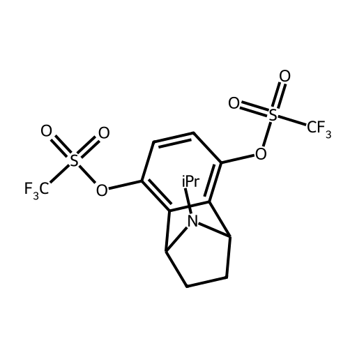 CC(C)N1C2CCC1c1c(OS(=O)(=O)C(F)(F)F)ccc(OS(=O)(=O)C(F)(F)F)c12